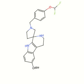 COc1ccc2[nH]c3c(c2c1)CCNC31CCN(Cc2ccc(OC(F)F)cc2)C1